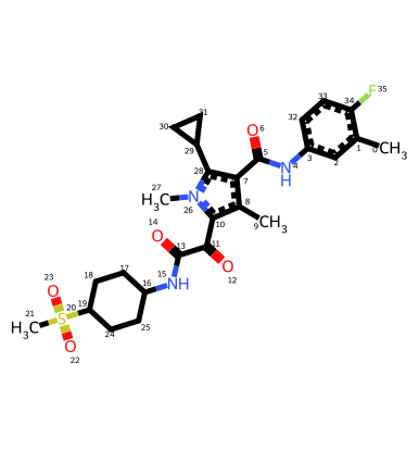 Cc1cc(NC(=O)c2c(C)c(C(=O)C(=O)NC3CCC(S(C)(=O)=O)CC3)n(C)c2C2CC2)ccc1F